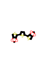 c1cc(-c2scc3c2OCO3)sc1-c1scc2c1OCO2